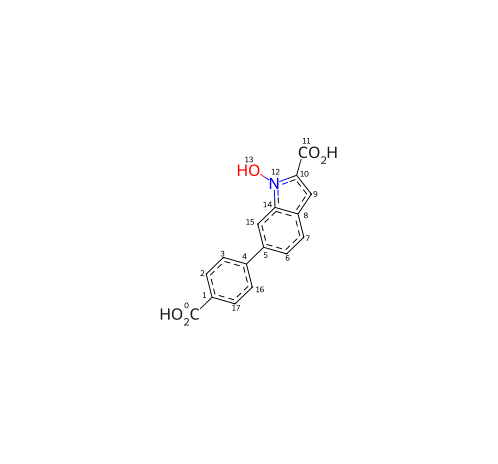 O=C(O)c1ccc(-c2ccc3cc(C(=O)O)n(O)c3c2)cc1